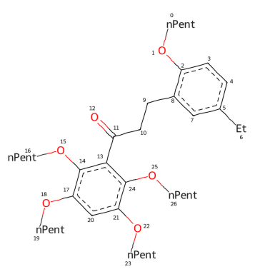 CCCCCOc1ccc(CC)cc1CCC(=O)c1c(OCCCCC)c(OCCCCC)cc(OCCCCC)c1OCCCCC